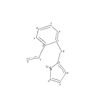 C=Cc1ccccc1Cc1cccs1